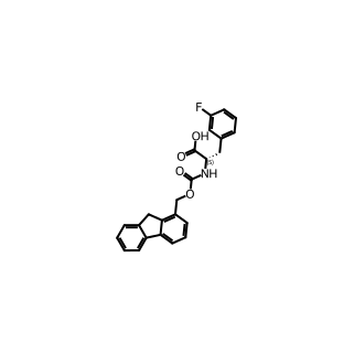 O=C(N[C@@H](Cc1cccc(F)c1)C(=O)O)OCc1cccc2c1Cc1ccccc1-2